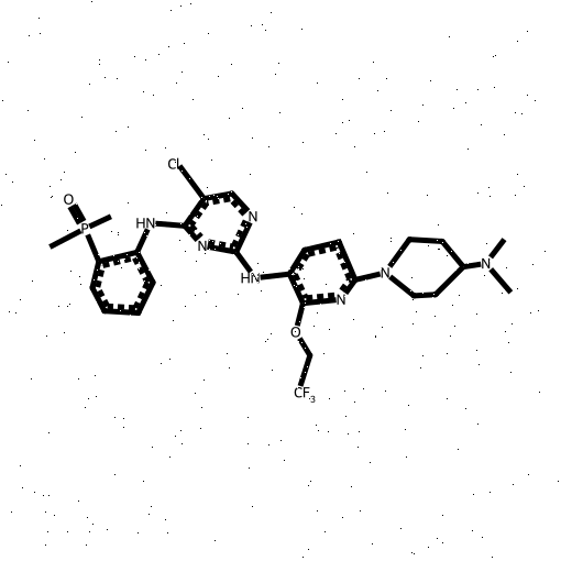 CN(C)C1CCN(c2ccc(Nc3ncc(Cl)c(Nc4ccccc4P(C)(C)=O)n3)c(OCC(F)(F)F)n2)CC1